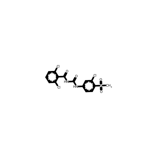 CS(=O)(=O)c1ccc(NC(=O)NC(=O)c2c(Cl)cccc2Cl)cc1Cl